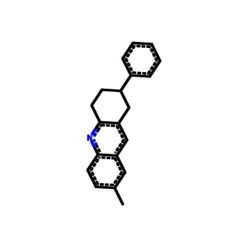 Cc1ccc2nc3c(cc2c1)CC(c1ccccc1)CC3